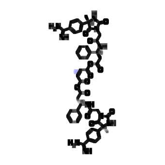 C[C@@]1(c2ccc(C(=N)N)cc2)NC(=O)N(CC(=O)N[C@@H](CC(=O)OC(=O)/C=C\C(=O)OC(=O)C[C@H](NC(=O)CN2C(=O)N[C@@](C)(c3ccc(C(=N)N)cc3)C2=O)c2ccccc2)c2ccccc2)C1=O